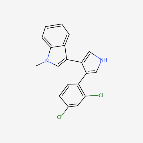 Cn1cc(-c2c[nH]cc2-c2ccc(Cl)cc2Cl)c2ccccc21